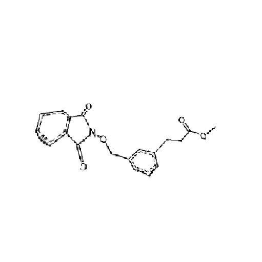 COC(=O)CCc1cccc(CON2C(=O)c3ccccc3C2=O)c1